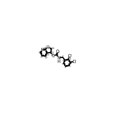 O=C(NCc1cccc(Cl)c1Cl)OC1COc2ncccc21